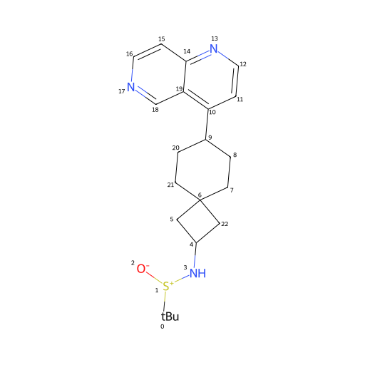 CC(C)(C)[S+]([O-])NC1CC2(CCC(c3ccnc4ccncc34)CC2)C1